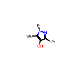 CCCCc1c(O)c(CCC)nn1CC